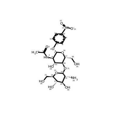 CC(=O)N[C@H]1[C@H](Oc2ccc([N+](=O)[O-])cc2)O[C@H](CO)[C@@H](O[C@@H]2O[C@H](CO)[C@@H](O)[C@H](O)[C@H]2N)[C@@H]1O